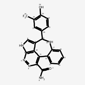 NC(=O)c1nnc2[nH]cc3c2c1-c1ccccc1NC3c1ccc(O)c(C(F)(F)F)c1